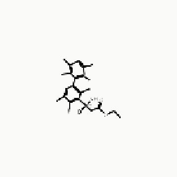 CCOC(=O)C[C@](N)(O)c1c(F)c(C)cc(-c2c(C)c(C)cc(C)c2C)c1F